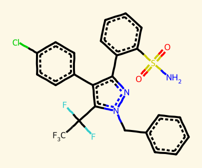 NS(=O)(=O)c1ccccc1-c1nn(Cc2ccccc2)c(C(F)(F)C(F)(F)F)c1-c1ccc(Cl)cc1